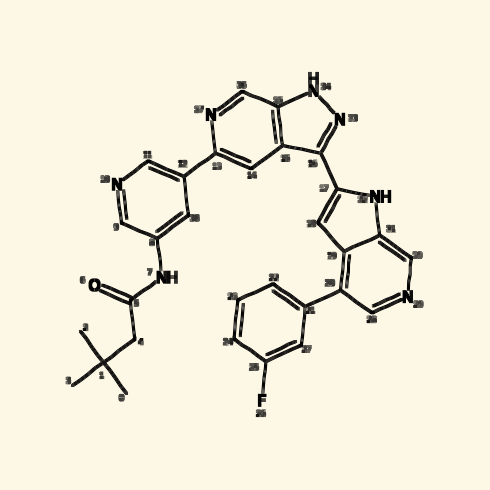 CC(C)(C)CC(=O)Nc1cncc(-c2cc3c(-c4cc5c(-c6cccc(F)c6)cncc5[nH]4)n[nH]c3cn2)c1